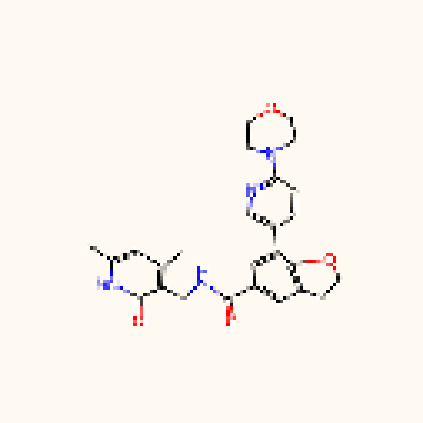 Cc1cc(C)c(CNC(=O)c2cc3c(c(-c4ccc(N5CCOCC5)nc4)c2)OCC3)c(=O)[nH]1